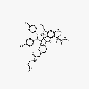 CCOc1cc(OC)c(S(=O)(=O)N(C)OC)cc1C1(C(=O)N2CCN(CC(=O)NCC(C)OC)CC2)N[C@H](c2ccc(Cl)cc2)[C@H](c2ccc(Cl)cc2)N1